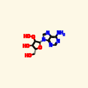 Nc1ncnc2c1ncn2[C@@H]1O[C@H](CO)C(O)C1OO